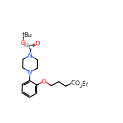 CCOC(=O)CCCOc1ccccc1N1CCN([13C](=O)OC(C)(C)C)CC1